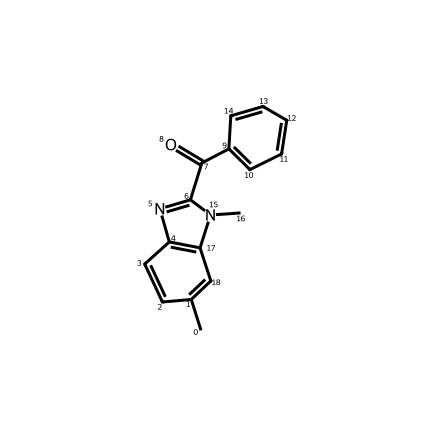 Cc1ccc2nc(C(=O)c3ccccc3)n(C)c2c1